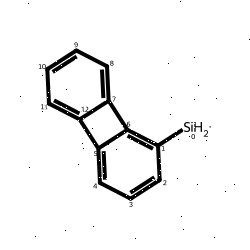 [SiH2]c1cccc2c1-c1ccccc1-2